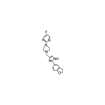 Fc1cnc(N2CCN(Cc3c[nH]c(-c4ccc5c(c4)CCO5)n3)CC2)nc1